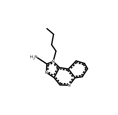 CCCCn1c(N)nc2cnc3ccccc3c21